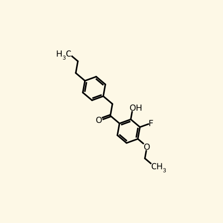 CCCc1ccc(CC(=O)c2ccc(OCC)c(F)c2O)cc1